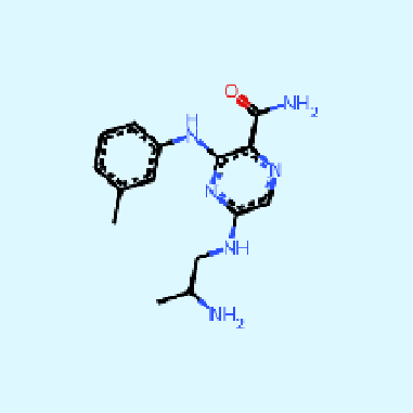 Cc1cccc(Nc2nc(NCC(C)N)cnc2C(N)=O)c1